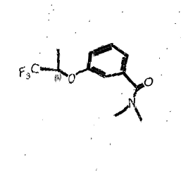 C[C@@H](Oc1cccc(C(=O)N(C)C)c1)C(F)(F)F